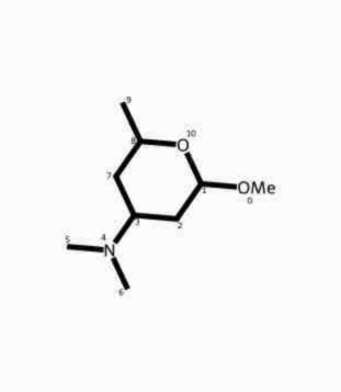 COC1CC(N(C)C)CC(C)O1